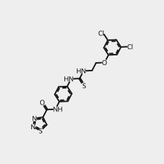 O=C(Nc1ccc(NC(=S)NCCOc2cc(Cl)cc(Cl)c2)cc1)c1csnn1